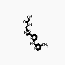 Cc1ccnc(Nc2cccc(-c3cnc(CNC(=O)CO)s3)n2)c1